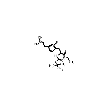 CCOC(=O)C(Cc1ccc(CCB(O)O)cc1F)NC(=O)OC(C)(C)C